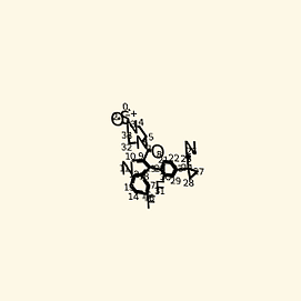 C[S+]([O-])N1CCN(C(=O)c2cnc3ccc(F)cc3c2-c2ccc(C3(C#N)CC3)cc2F)CC1